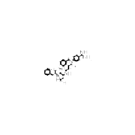 N=C(N)c1ccc(N(Cc2ccccc2)C(=O)CCC(=O)N[C@@H](CC(=O)O)C(=O)N[C@@H](Cc2ccccc2)C(=O)O)cc1